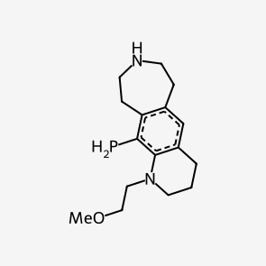 COCCN1CCCc2cc3c(c(P)c21)CCNCC3